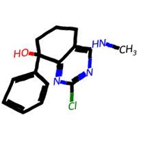 CNc1nc(Cl)nc2c1CCCC2(O)c1ccccc1